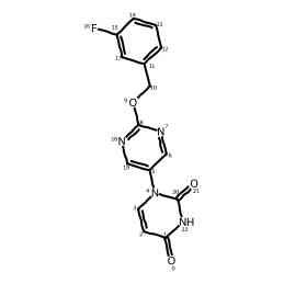 O=c1ccn(-c2cnc(OCc3cccc(F)c3)nc2)c(=O)[nH]1